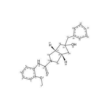 COc1ccccc1NC(=O)N1C[C@@H]2CC(O)(Cc3ccccc3)C[C@@H]2C1